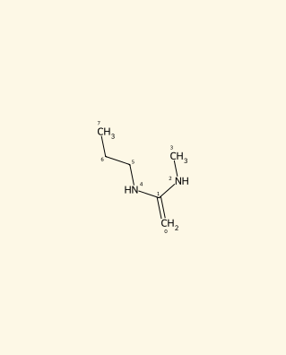 C=C(NC)NCCC